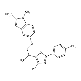 CC(C)c1nc(-c2ccc(C(F)(F)F)cc2)oc1C(C)COc1ccc2c(c1)cc(C(=O)O)n2C